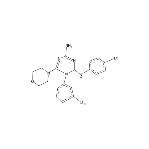 CCc1ccc(NC2N=C(N)N=C(N3CCOCC3)N2c2cccc(C(F)(F)F)c2)cc1